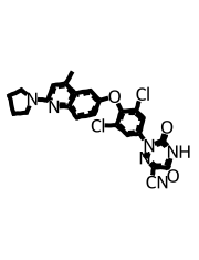 Cc1cc(N2CCCC2)nc2ccc(Oc3c(Cl)cc(-n4nc(C#N)c(=O)[nH]c4=O)cc3Cl)cc12